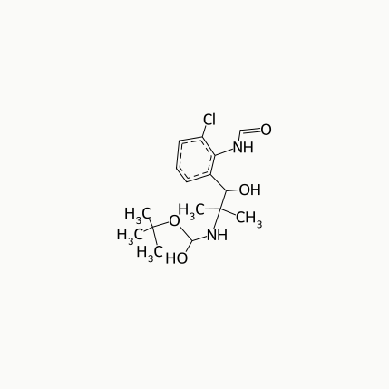 CC(C)(C)OC(O)NC(C)(C)C(O)c1cccc(Cl)c1NC=O